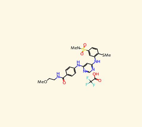 CNS(=O)(=O)c1ccc(SC)c(Nc2cc(Nc3ccc(C(=O)NCCOC)cc3)ncn2)c1.O=C(O)C(F)(F)F